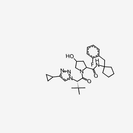 CC(C)(C)[C@@H](C(=O)N1CC(O)CC1C(=O)NC1(Cc2ccccc2F)CCCC1)n1cc(C2CC2)nn1